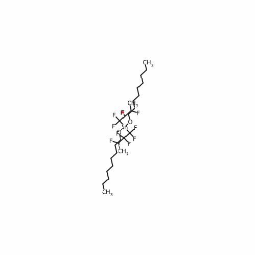 CCCCCCCCC[O][Sn]([O]CCCCCCCCC)([C](F)(F)C(F)(F)C(C)F)[C](F)(F)C(F)(F)C(C)F